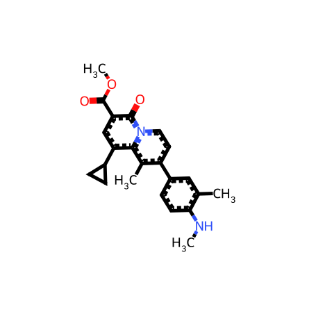 CNc1ccc(-c2ccn3c(=O)c(C(=O)OC)cc(C4CC4)c3c2C)cc1C